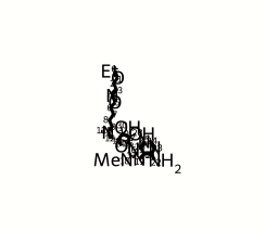 CCOCC=NOCCCCN(C)C[C@H]1O[C@@H](n2c(NC)nc3c(N)ncnc32)[C@H](O)[C@@H]1O